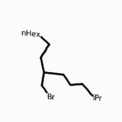 CCCCCCCCC(CBr)CCCC(C)C